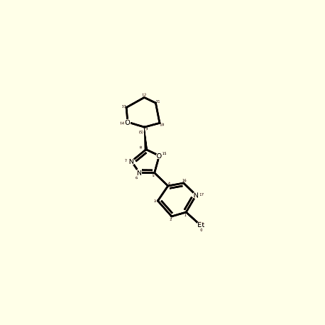 CCc1ccc(-c2nnc([C@@H]3CCCCO3)o2)cn1